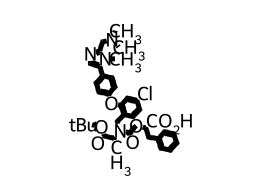 CC(C(=O)OC(C)(C)C)N(Cc1ccc(Cl)cc1Oc1ccc(-c2cnc(CN(C)C)n2C)cc1)C(=O)OC(Cc1ccccc1)C(=O)O